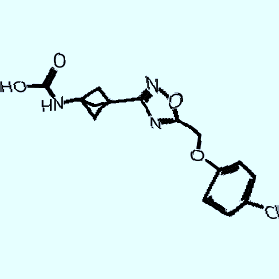 O=C(O)NC12CC(c3noc(COc4ccc(Cl)cc4)n3)(C1)C2